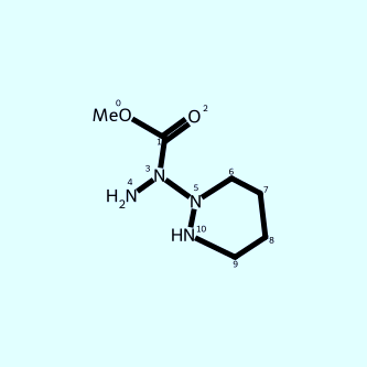 COC(=O)N(N)N1CCCCN1